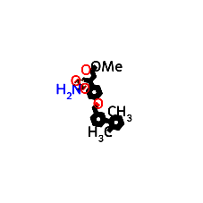 COC(=O)CC(CS(N)(=O)=O)c1ccc(OCc2cccc(-c3c(C)cccc3C)c2)cc1